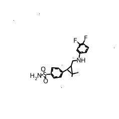 CC1(C)C(CNc2ccc(F)c(F)c2)C1c1ccc(S(N)(=O)=O)cc1